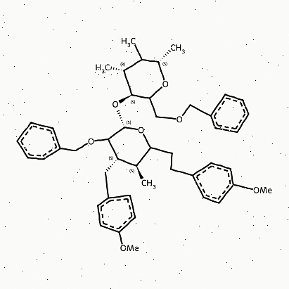 COc1ccc(CCC2O[C@@H](O[C@@H]3C(COCc4ccccc4)O[C@@H](C)C(C)[C@H]3C)C(OCc3ccccc3)[C@@H](Cc3ccc(OC)cc3)[C@@H]2C)cc1